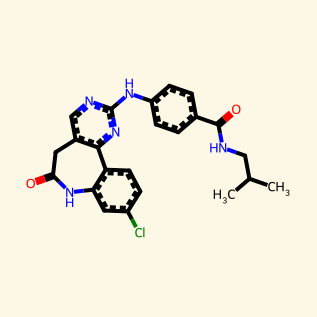 CC(C)CNC(=O)c1ccc(Nc2ncc3c(n2)-c2ccc(Cl)cc2NC(=O)C3)cc1